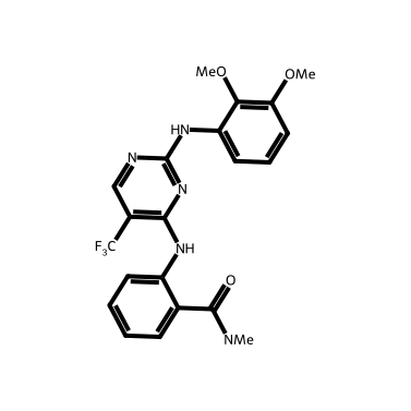 CNC(=O)c1ccccc1Nc1nc(Nc2cccc(OC)c2OC)ncc1C(F)(F)F